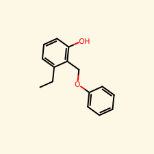 CCc1cccc(O)c1COc1ccccc1